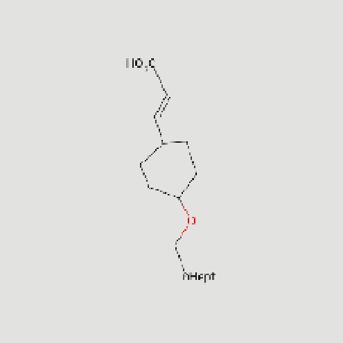 CCCCCCCCOC1CCC(/C=C/C(=O)O)CC1